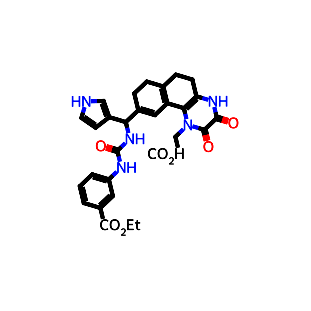 CCOC(=O)c1cccc(NC(=O)NC(C2=CC3=C(CC2)CCc2[nH]c(=O)c(=O)n(CC(=O)O)c23)c2cc[nH]c2)c1